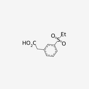 CCS(=O)(=O)c1cccc(CC(=O)O)c1